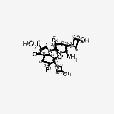 Nc1nc(-n2cc(C(=O)O)c(=O)c3cc(F)c(N4CC(O)C4)c(Cl)c32)c(F)cc1N1CC(O)C1